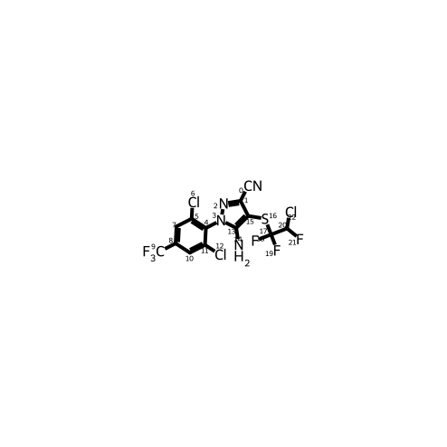 N#Cc1nn(-c2c(Cl)cc(C(F)(F)F)cc2Cl)c(N)c1SC(F)(F)C(F)Cl